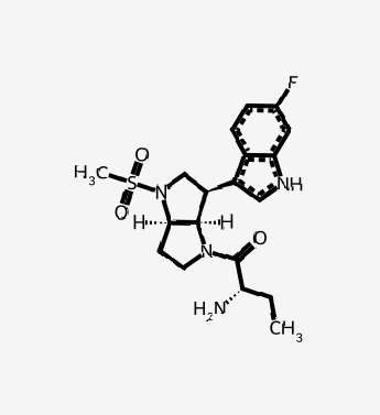 CC[C@H](N)C(=O)N1CC[C@@H]2[C@H]1[C@H](c1c[nH]c3cc(F)ccc13)CN2S(C)(=O)=O